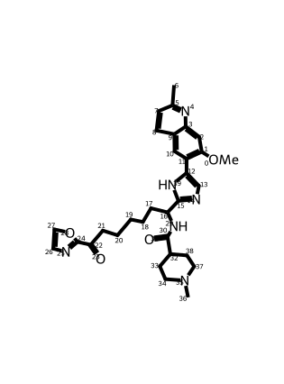 COc1cc2nc(C)ccc2cc1-c1cnc(C(CCCCCC(=O)c2ncco2)NC(=O)C2CCN(C)CC2)[nH]1